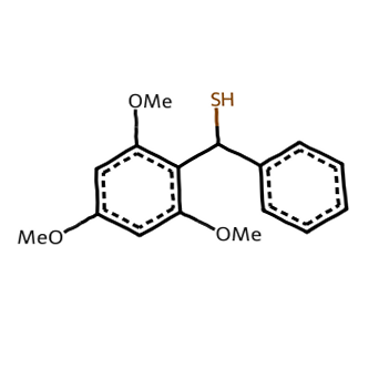 COc1cc(OC)c(C(S)c2ccccc2)c(OC)c1